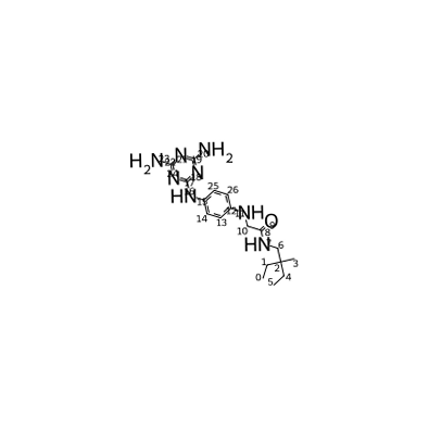 CCC(C)(CC)CNC(=O)CNc1ccc(Nc2nc(N)nc(N)n2)cc1